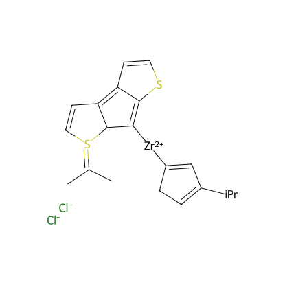 CC(C)=S1C=CC2=c3ccsc3=[C]([Zr+2][C]3=CC(C(C)C)=CC3)C21.[Cl-].[Cl-]